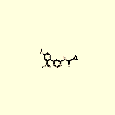 COc1ccc(-c2ccnc(NC(=O)C3CC3)c2)c([N+](=O)[O-])c1